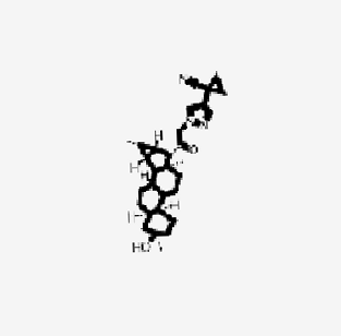 C[C@H]1[C@H]2C3[C@@H]4CC[C@@H]5C[C@](C)(O)CC[C@@H]5C4CC[C@]3(C)[C@@H](C(=O)Cn3cc(C4(C#N)CC4)cn3)[C@@H]12